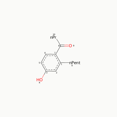 CCCCCc1cc(O)ccc1C(=O)CCC